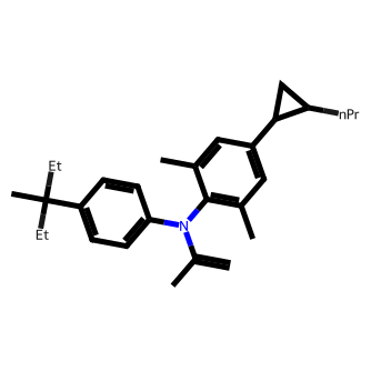 C=C(C)N(c1ccc(C(C)(CC)CC)cc1)c1c(C)cc(C2CC2CCC)cc1C